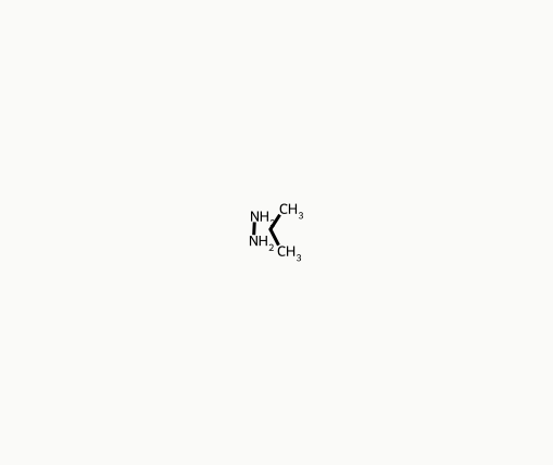 CCC.NN